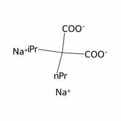 CCCC(C(=O)[O-])(C(=O)[O-])C(C)C.[Na+].[Na+]